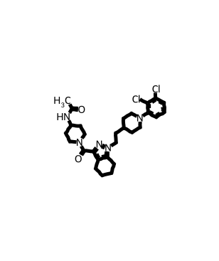 CC(=O)NC1CCN(C(=O)c2nn(CCC3CCN(c4cccc(Cl)c4Cl)CC3)c3c2CCCC3)CC1